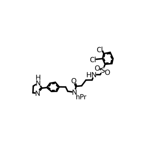 CCCN(CCc1ccc(C2=NCCN2)cc1)C(=O)CCCNCS(=O)(=O)c1cccc(Cl)c1Cl